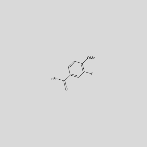 CCCC(=O)c1ccc(OC)c(F)c1